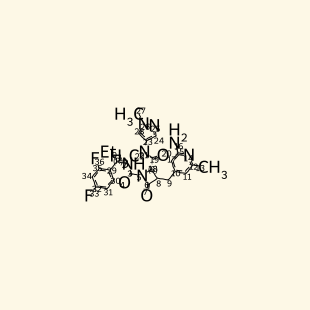 CC[C@@H](NC(=O)N1C(=O)C(Cc2cc(C)nc(N)c2)[C@H]1C(=O)N(C)c1cnn(C)c1)c1ccc(F)cc1F